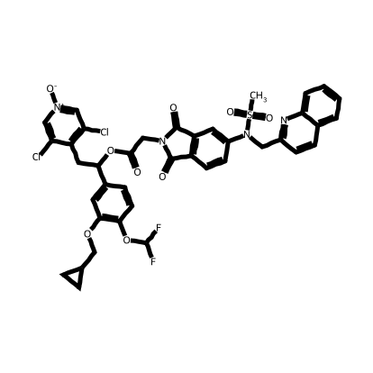 CS(=O)(=O)N(Cc1ccc2ccccc2n1)c1ccc2c(c1)C(=O)N(CC(=O)OC(Cc1c(Cl)c[n+]([O-])cc1Cl)c1ccc(OC(F)F)c(OCC3CC3)c1)C2=O